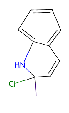 ClC1(I)C=Cc2ccccc2N1